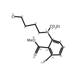 CCOC(=O)N(CCCCCl)c1cccc(F)c1C(=O)OC